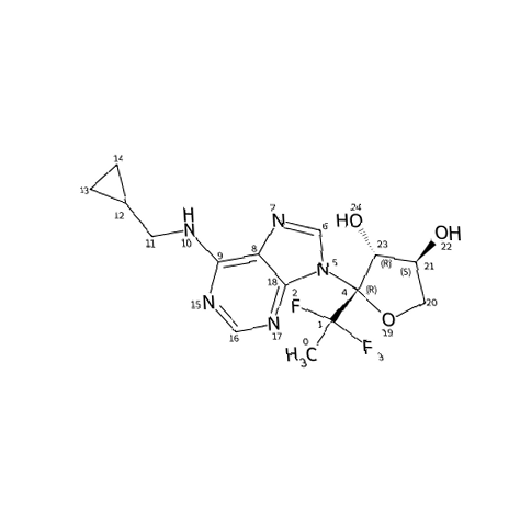 CC(F)(F)[C@]1(n2cnc3c(NCC4CC4)ncnc32)OC[C@H](O)[C@H]1O